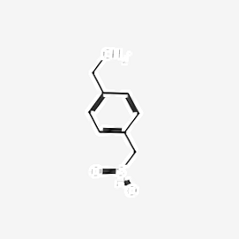 [CH2]Cc1ccc(C[SH](=O)=O)cc1